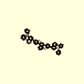 C1=Cc2c(-c3ccc4c(c3)sc3cc5c6c(cccc6c34)Sc3cc(-c4ccc(N(c6ccccc6)c6ccccc6)c6ccccc46)ccc3-5)ccc(N(c3ccccc3)c3ccccc3)c2CC1